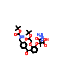 CC(C)(C)OC(=O)COc1c(OC(C)(C(=O)O)C(=O)NN)cccc1C(=O)c1ccc(CNC(=O)OC(C)(C)C)cc1